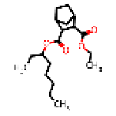 CCCCCC(CC)OC(=O)C1C2CCC(C2)C1C(=O)OCC